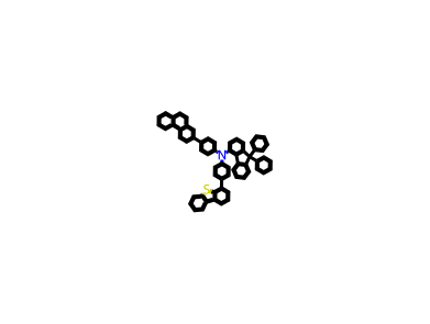 c1ccc(C2(c3ccccc3)c3ccccc3-c3c(N(c4ccc(-c5ccc6c(ccc7ccccc76)c5)cc4)c4ccc(-c5cccc6c5sc5ccccc56)cc4)cccc32)cc1